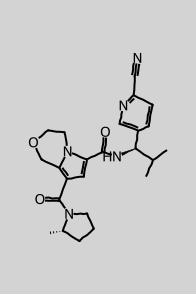 CC(C)[C@@H](NC(=O)c1cc(C(=O)N2CCC[C@@H]2C)c2n1CCOC2)c1ccc(C#N)nc1